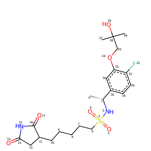 C[C@@H](NS(=O)(=O)CCCCCC1CC(=O)NC1=O)c1ccc(F)c(OCC(C)(C)O)c1